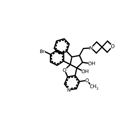 COc1cncc2c1C1(O)C(O)C(CN3CC4(COC4)C3)C(c3ccccc3)C1(c1ccc(Br)cc1)O2